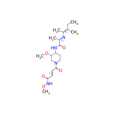 CC/C(C)=C(C)/N=C(\C)C(=O)NC1CCN(C(=O)/C=C/C(=O)NOC)CC1OC